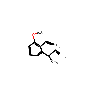 C=C[C](C)c1cccc(OCC)c1C=C